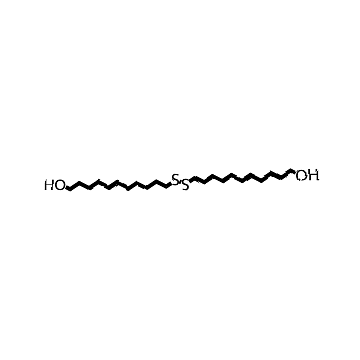 OCCCCCCCCCCCSSCCCCCCCCCCCO